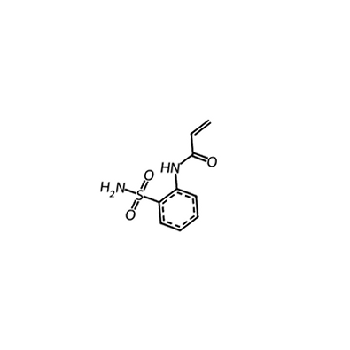 C=CC(=O)Nc1ccccc1S(N)(=O)=O